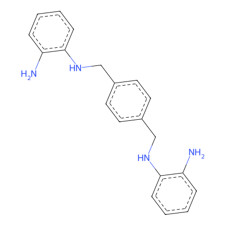 Nc1ccccc1NCc1ccc(CNc2ccccc2N)cc1